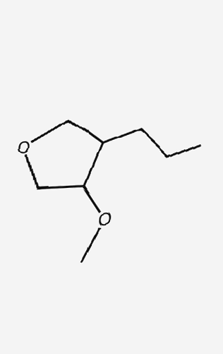 CCCC1COCC1OC